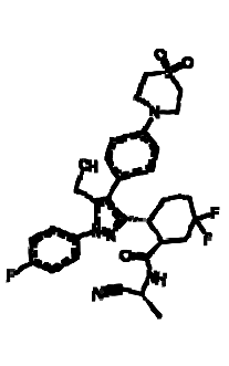 C[C@@H](C#N)NC(=O)[C@@H]1CC(F)(F)CC[C@H]1c1nn(-c2ccc(F)cc2)c(CO)c1-c1ccc(N2CCS(=O)(=O)CC2)cc1